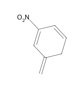 C=C1C=C([N+](=O)[O-])C=CC1